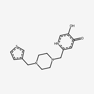 O=c1cc(CN2CCN(Cc3ccsc3)CC2)[nH]cc1O